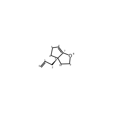 C=CC[C@@]12CCC=C1OCC2